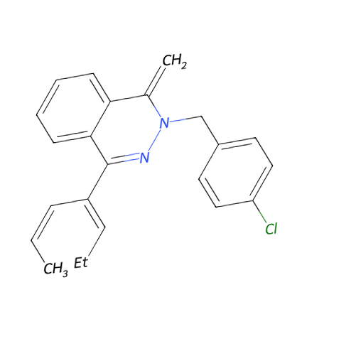 C=C1c2ccccc2C(C(/C=C\C)=C/CC)=NN1Cc1ccc(Cl)cc1